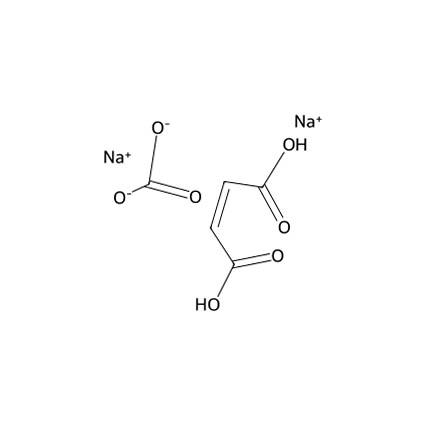 O=C(O)/C=C\C(=O)O.O=C([O-])[O-].[Na+].[Na+]